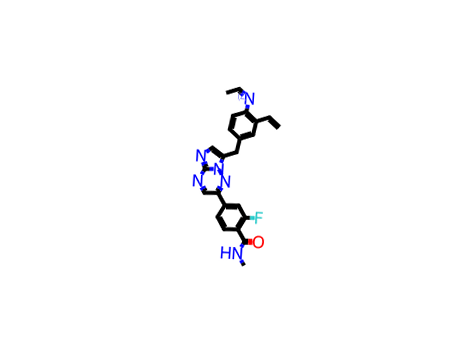 C=Cc1cc(Cc2cnc3ncc(-c4ccc(C(=O)NC)c(F)c4)nn23)ccc1/N=C\C